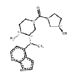 C[C@@H]1CCN(C(=O)N2CC[C@@H](C#N)C2)C[C@@H]1N(C)c1ccnc2[nH]ccc12